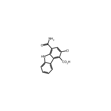 NC(=O)c1cc(Cl)c(C(=O)O)c2c1[nH]c1ccccc12